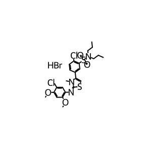 Br.CCCN(CCC)S(=O)(=O)c1cc(-c2cs/c(=N/c3cc(Cl)c(OC)cc3OC)n2C)ccc1Cl